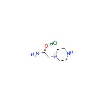 Cl.NC(=O)CN1CCNCC1